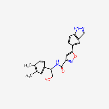 Cc1ccc(C(CO)NC(=O)c2cc(-c3ccc4[nH]ncc4c3)on2)cc1C